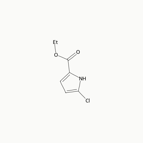 CCOC(=O)c1ccc(Cl)[nH]1